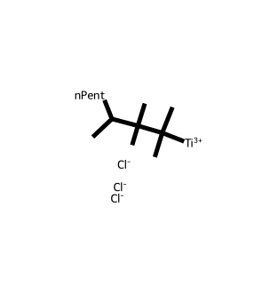 CCCCCC(C)C(C)(C)[C](C)(C)[Ti+3].[Cl-].[Cl-].[Cl-]